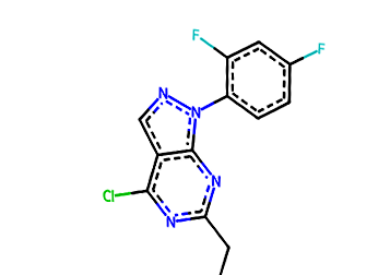 COCc1nc(Cl)c2cnn(-c3ccc(F)cc3F)c2n1